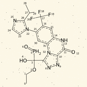 CCOC(O)([PH2]=O)c1nnc2c(=O)[nH]c3cc(C(F)(F)F)c(-n4ccnc4C(C)C)cc3n12